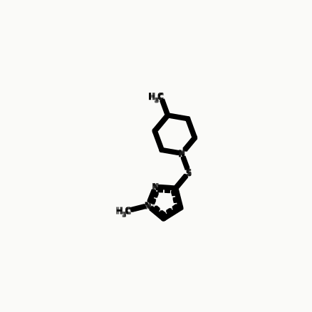 CC1CCN(Sc2ccn(C)n2)CC1